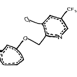 FC(F)(F)c1cnc(COc2cc[c]cc2)c(Cl)c1